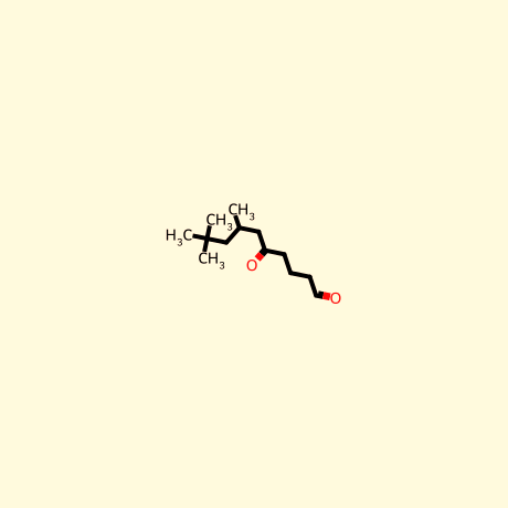 CC(CC(=O)CCCC=O)CC(C)(C)C